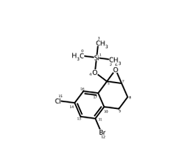 C[Si](C)(C)OC12OC1CCc1c(Br)cc(Cl)cc12